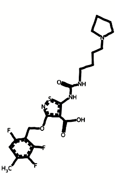 Cc1cc(F)c(COc2nsc(NC(=O)NCCCCN3CCCC3)c2C(=O)O)c(F)c1F